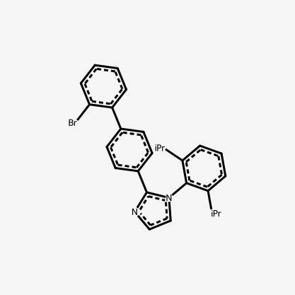 CC(C)c1cccc(C(C)C)c1-n1ccnc1-c1ccc(-c2ccccc2Br)cc1